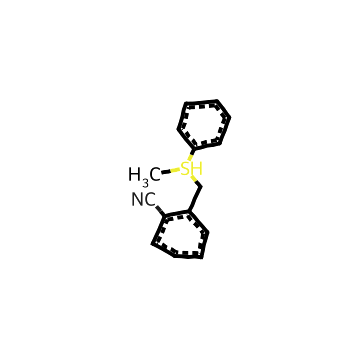 C[SH](Cc1ccccc1C#N)c1ccccc1